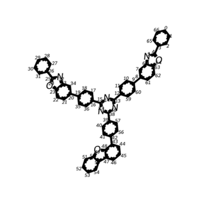 c1ccc(-c2nc3cc(-c4ccc(-c5nc(-c6ccc(-c7ccc8oc(-c9ccccc9)nc8c7)cc6)nc(-c6ccc(-c7cccc8c7oc7ccccc78)cc6)n5)cc4)ccc3o2)cc1